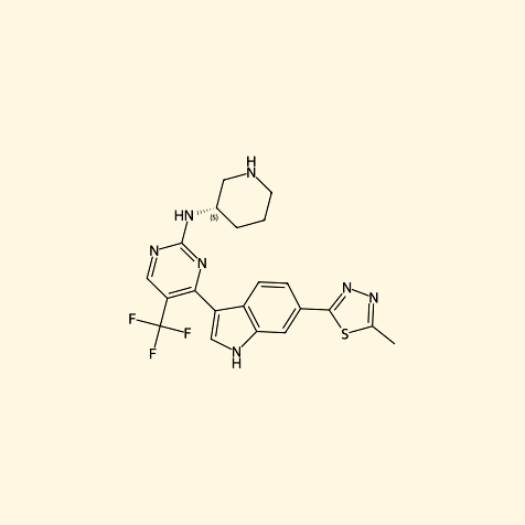 Cc1nnc(-c2ccc3c(-c4nc(N[C@H]5CCCNC5)ncc4C(F)(F)F)c[nH]c3c2)s1